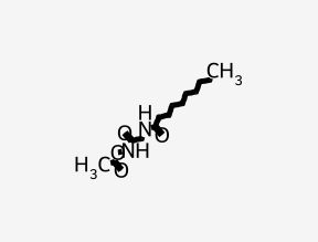 CCCCCCCCCC(=O)NCC(=O)NOC(C)=O